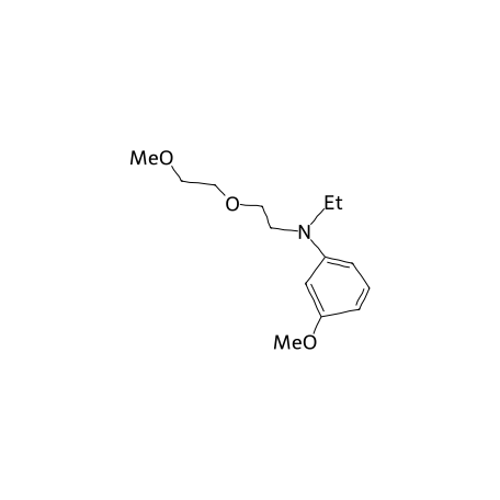 CCN(CCOCCOC)c1cccc(OC)c1